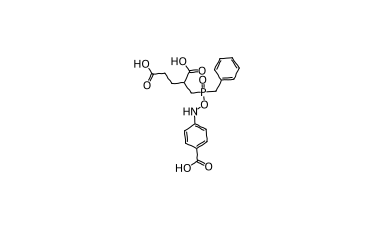 O=C(O)CCC(CP(=O)(Cc1ccccc1)ONc1ccc(C(=O)O)cc1)C(=O)O